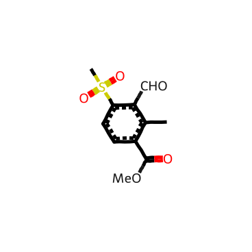 COC(=O)c1ccc(S(C)(=O)=O)c(C=O)c1C